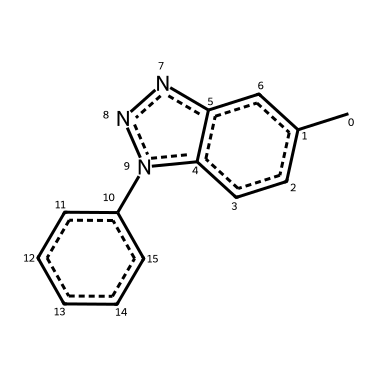 Cc1ccc2c(c1)nnn2-c1ccccc1